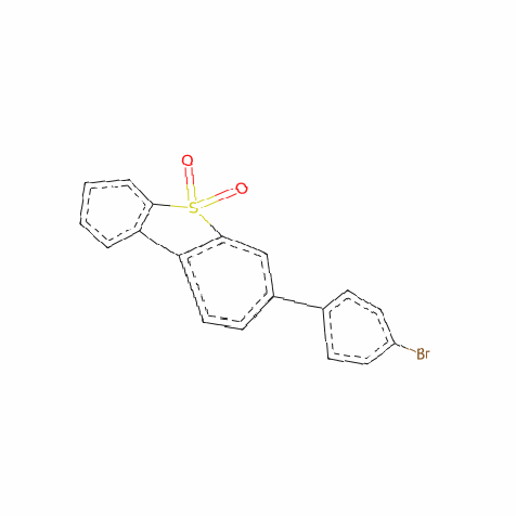 O=S1(=O)c2ccccc2-c2ccc(-c3ccc(Br)cc3)cc21